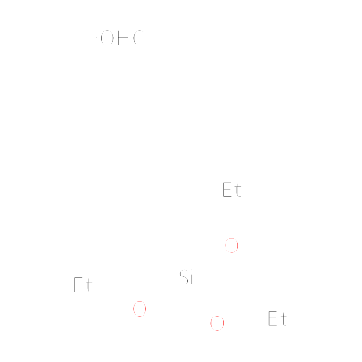 CCO[Si](CCCC[C]=O)(OCC)OCC